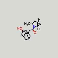 C[C@@H]1C[C@@H]2C[C@@H]2N1C(=O)CC12CC3CC(CC(O)(C3)C1)C2